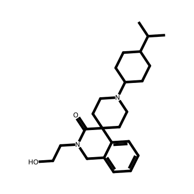 CC(C)C1CCC(N2CCC3(CC2)C(=O)N(CCO)Cc2ccccc23)CC1